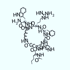 CCCC[C@H](NC(C)=O)C(=O)N[C@H]1CCC(=O)NCCC[C@@H](C(=O)N[C@@H](Cc2c[nH]c3ccccc23)C(N)=O)NC(=O)[C@H](CCCNC(=N)N)NC(=O)[C@H](Cc2ccccc2)NC(=O)[C@H](Cc2c[nH]cn2)NC1=O